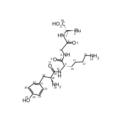 CC[C@H](C)[C@H](NC(=O)CNC(=O)[C@H](CCCCN)NC(=O)[C@@H](N)Cc1ccc(O)cc1)C(=O)O